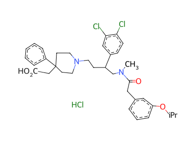 CC(C)Oc1cccc(CC(=O)N(C)CC(CCN2CCC(CC(=O)O)(c3ccccc3)CC2)c2ccc(Cl)c(Cl)c2)c1.Cl